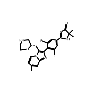 Cc1ccn2c(C[C@H]3CNCCO3)c(-c3c(F)cc(C4=NC(=O)C(C)(C)N4)cc3F)nc2c1